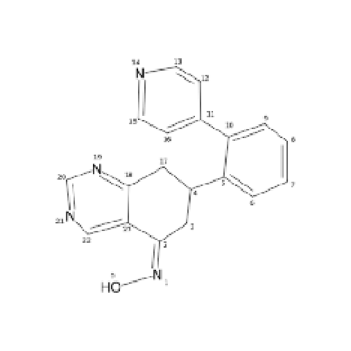 O/N=C1/CC(c2ccccc2-c2ccncc2)Cc2ncncc21